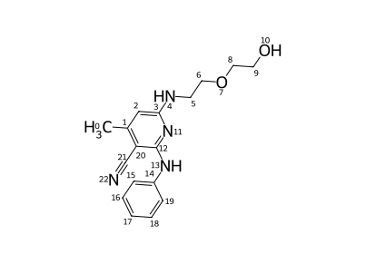 Cc1cc(NCCOCCO)nc(Nc2ccccc2)c1C#N